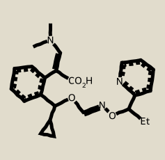 CCC(O/N=C/OC(c1ccccc1/C(=C\N(C)C)C(=O)O)C1CC1)c1ccccn1